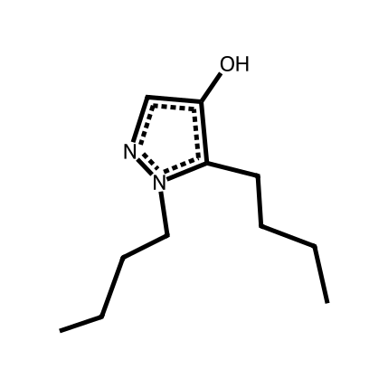 CCCCc1c(O)cnn1CCCC